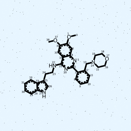 COc1cc2nc(-c3ccccc3CN3CCOCC3)nc(NCCc3c[nH]c4ccccc34)c2cc1OC